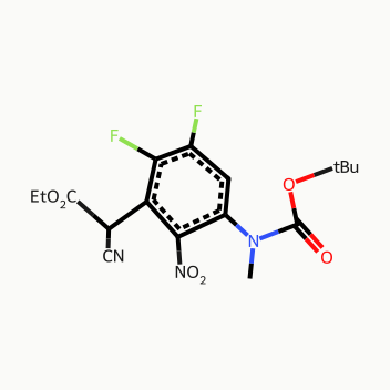 CCOC(=O)C(C#N)c1c(F)c(F)cc(N(C)C(=O)OC(C)(C)C)c1[N+](=O)[O-]